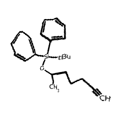 C#CCCCC(C)O[Si](c1ccccc1)(c1ccccc1)C(C)(C)C